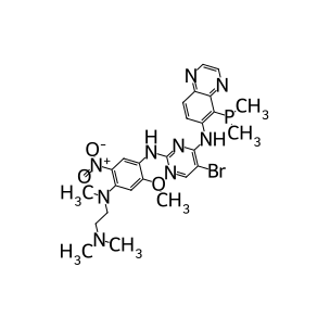 COc1cc(N(C)CCN(C)C)c([N+](=O)[O-])cc1Nc1ncc(Br)c(Nc2ccc3nccnc3c2P(C)C)n1